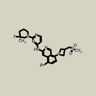 CC(C)c1ccc(N2CC(CS(C)(=O)=O)C2)c2cnc(Nc3ccnc(N4CCC[C@](C)(F)C4)n3)cc12